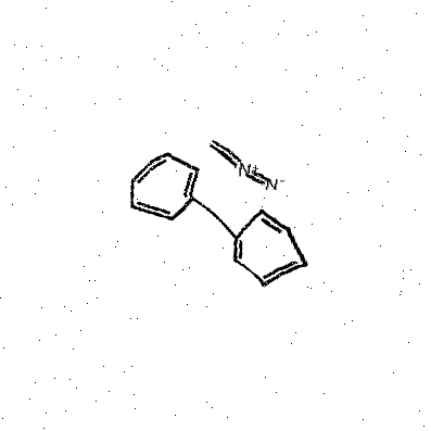 C=[N+]=[N-].c1ccc(-c2ccccc2)cc1